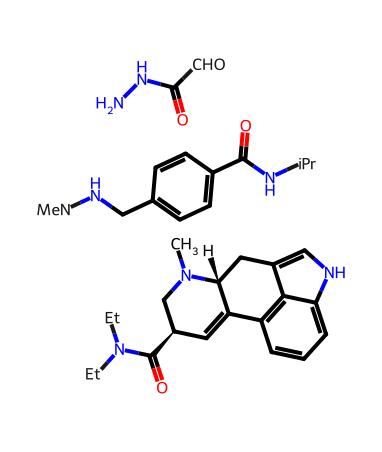 CCN(CC)C(=O)[C@@H]1C=C2c3cccc4[nH]cc(c34)C[C@H]2N(C)C1.CNNCc1ccc(C(=O)NC(C)C)cc1.NNC(=O)C=O